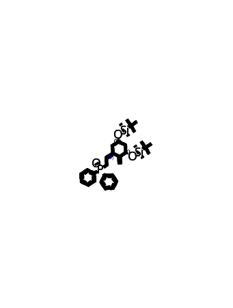 C=C1/C(=C\CP(=O)(c2ccccc2)c2ccccc2)C[C@H](O[Si](C)(C)C(C)(C)C)C[C@@H]1O[Si](C)(C)C(C)(C)C